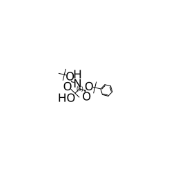 CC(C)(C)OC(=O)N[C@H](C(=O)OC(C)(C)c1ccccc1)C(C)(C)O